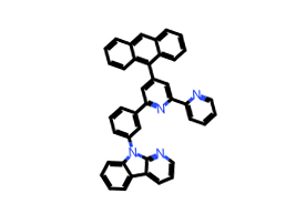 c1ccc(-c2cc(-c3c4ccccc4cc4ccccc34)cc(-c3cccc(-n4c5ccccc5c5cccnc54)c3)n2)nc1